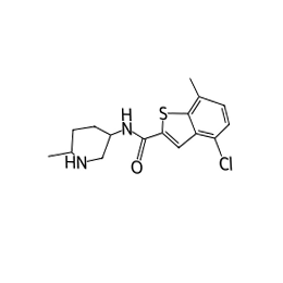 Cc1ccc(Cl)c2cc(C(=O)NC3CCC(C)NC3)sc12